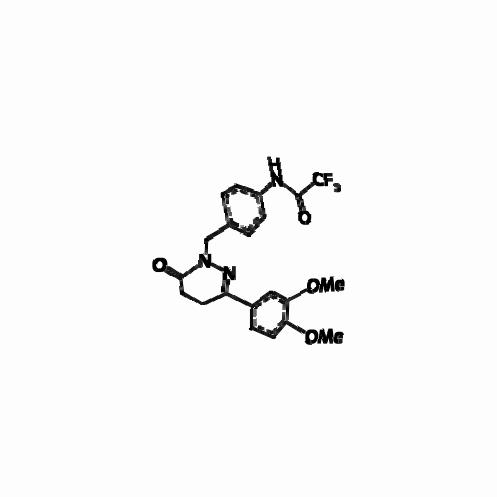 COc1ccc(C2=NN(Cc3ccc(NC(=O)C(F)(F)F)cc3)C(=O)CC2)cc1OC